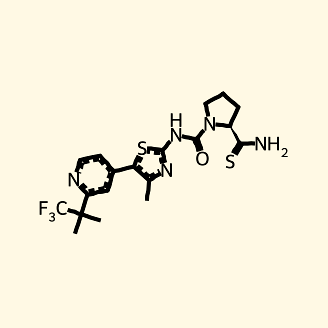 Cc1nc(NC(=O)N2CCC[C@H]2C(N)=S)sc1-c1ccnc(C(C)(C)C(F)(F)F)c1